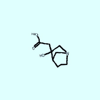 O=C(O)CC1(O)CN2CCC1C2